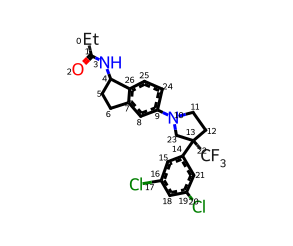 CCC(=O)NC1CCc2cc(N3CCC(c4cc(Cl)cc(Cl)c4)(C(F)(F)F)C3)ccc21